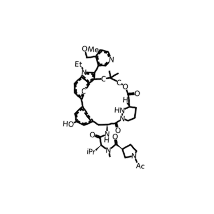 CCn1c(-c2cnccc2COC)c2c3cc(ccc31)-c1cc(O)cc(c1)C[C@H](NC(=O)[C@H](C(C)C)N(C)C(=O)[C@H]1CCN(C(C)=O)C1)C(=O)N1CCC[C@H](N1)C(=O)OCC(C)(C)C2